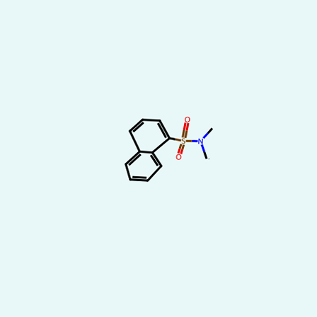 [CH2]N(C)S(=O)(=O)c1cccc2ccccc12